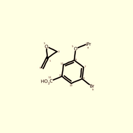 C=C1CO1.CC(C)Oc1cc(Br)cc(C(=O)O)c1